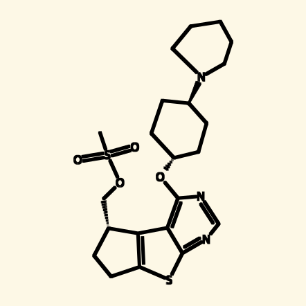 CS(=O)(=O)OC[C@H]1CCc2sc3ncnc(O[C@H]4CC[C@H](N5CCCCC5)CC4)c3c21